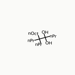 CCCCCCCCC(CCC)(CCC)C(O)(O)CCC